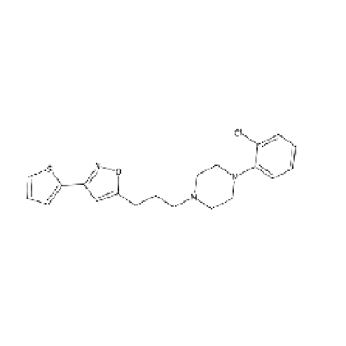 Clc1ccccc1N1CCN(CCCc2cc(-c3cccs3)no2)CC1